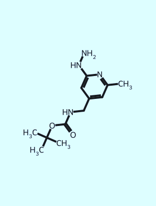 Cc1cc(CNC(=O)OC(C)(C)C)cc(NN)n1